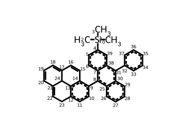 C[Si](C)(C)c1ccc2c(-c3ccc4c5c3C=CC3=CC=CC(=CC4)C35)c3ccccc3c(-c3ccccc3)c2c1